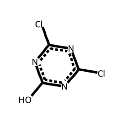 Oc1nc(Cl)nc(Cl)n1